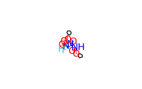 O=C(COc1ccccc1)N[C@H]1C(=O)N2C1CN(C(=O)C(F)F)C2C(=O)OCc1ccccc1